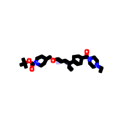 C=C/C(=C\C=C\OCC1CCN(C(=O)OC(C)(C)C)CC1)C1=CCC(C(=O)N2CCN(CC)CC2)CC1